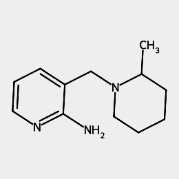 CC1CCCCN1Cc1cccnc1N